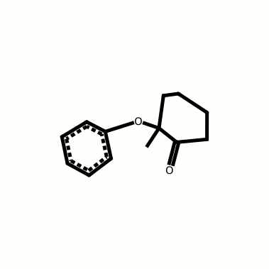 CC1(Oc2ccccc2)CCCCC1=O